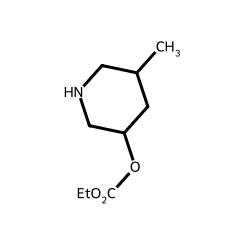 CCOC(=O)OC1CNCC(C)C1